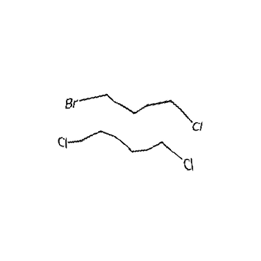 ClCCCBr.ClCCCCl